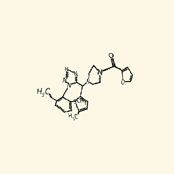 Cc1ccc(C(c2nnnn2-c2c(C)cccc2C)N2CCN(C(=O)c3ccco3)CC2)s1